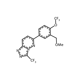 COCc1cc(-c2ccc3nnc(C(F)(F)F)n3n2)ccc1OC(F)(F)F